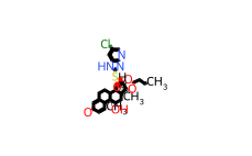 CCCC1O[C@@H]2CC3C4CCC5=CC(=O)C=CC5(C)C4[C@@H](O)CC3(C)[C@]2(C(=O)CSc2nc3ncc(Cl)cc3[nH]2)O1